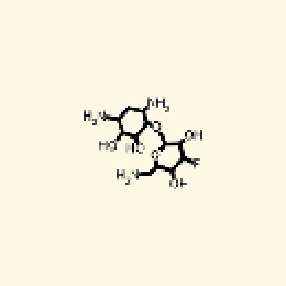 NCC1OC(OC2C(N)CC(N)C(O)C2O)C(O)C(F)C1O